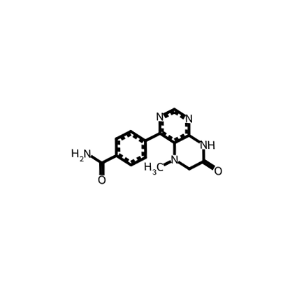 CN1CC(=O)Nc2ncnc(-c3ccc(C(N)=O)cc3)c21